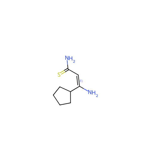 NC(=S)/C=C(/N)C1CCCC1